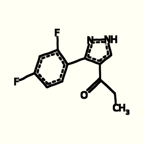 CCC(=O)c1c[nH]nc1-c1ccc(F)cc1F